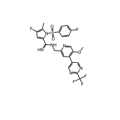 COc1cnc(CNC(=N)c2cc(F)c(C)n2S(=O)(=O)c2ccc(F)cc2)cc1-c1cnc(C(F)(F)F)nc1